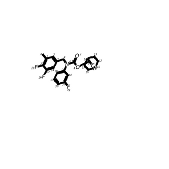 Cc1cc(CN(C(=O)OC2CN3CCC2CC3)c2cccc(F)c2)cc(F)c1F